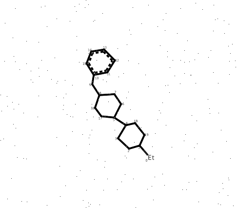 CCC1CCC(C2CCC(Cc3ccccc3)CC2)CC1